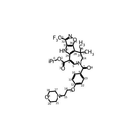 CC(C)OC(=O)C1=CN(C(=O)c2ccc(OCCN3CCOCC3)cc2)CC(C)(C)c2c1[nH]c1c(C(F)(F)F)noc21